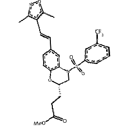 COC(=O)CC[C@H]1CN(S(=O)(=O)c2cccc(C(F)(F)F)c2)c2cc(/C=C/c3c(C)noc3C)ccc2O1